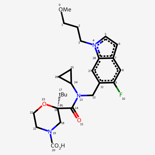 COCCCn1ccc2cc(F)c(CN(C(=O)[C@@]3(C(C)(C)C)CN(C(=O)O)CCO3)C3CC3)cc21